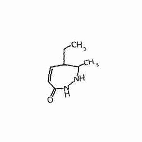 CCC1C=CC(=O)NNC1C